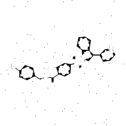 O=C(NCc1ccc(F)cc1)c1ccc(S(=O)(=O)n2cc(-c3cccnc3)c3ccccc32)cc1